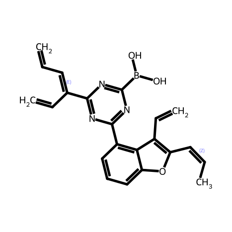 C=C/C=C(\C=C)c1nc(B(O)O)nc(-c2cccc3oc(/C=C\C)c(C=C)c23)n1